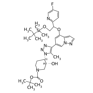 Cc1c(-c2cc(OC(CO[Si](C)(C)C(C)(C)C)c3ccc(F)cn3)c3ccnn3c2)nnn1[C@H]1CCN(C(=O)OC(C)(C)C)C[C@H]1O